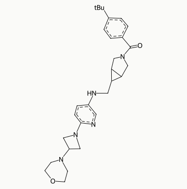 CC(C)(C)c1ccc(C(=O)N2CC3C(CNc4ccc(N5CC(N6CCOCC6)C5)nc4)C3C2)cc1